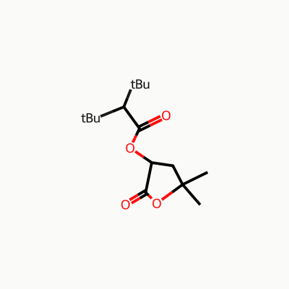 CC1(C)CC(OC(=O)C(C(C)(C)C)C(C)(C)C)C(=O)O1